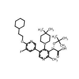 Cc1ncc(-c2cnc(OCCC3CCCCC3)c(F)c2)c(N2CCC(C)(C)CC2)c1[C@H](OC(C)(C)C)C(=O)O